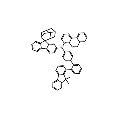 CC1(C)c2ccccc2-c2cccc(-c3ccccc3-c3ccc(N(c4ccc5c(c4)C4(c6ccccc6-5)C5CC6CC(C5)CC4C6)c4cccc5c4ccc4ccccc45)cc3)c21